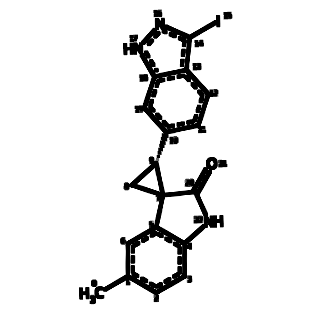 Cc1ccc2c(c1)C1(C[C@@H]1c1ccc3c(I)n[nH]c3c1)C(=O)N2